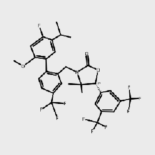 COc1cc(F)c(C(C)C)cc1-c1ccc(C(F)(F)F)cc1CN1C(=O)O[C@H](c2cc(C(F)(F)F)cc(C(F)(F)F)c2)C1(C)C